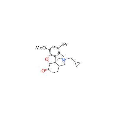 COc1cc(C(C)C)c2c3c1OC1C(=O)CCC4C(C2)N(CC2CC2)CC[C@@]314